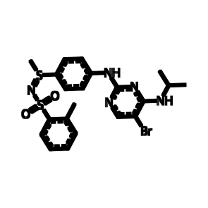 Cc1ccccc1S(=O)(=O)N=S(C)c1ccc(Nc2ncc(Br)c(NC(C)C)n2)cc1